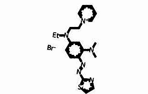 CCN(CC[n+]1ccccc1)c1ccc(/N=N/c2nccs2)c(N(C)C)c1.[Br-]